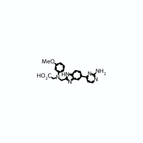 COc1cccc(N(CC(=O)O)Cc2nc3cc(-c4ccnc(N)n4)ccc3[nH]2)c1